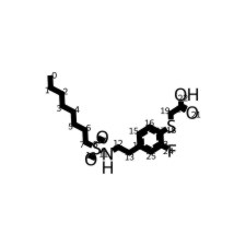 CCCCCCCCS(=O)(=O)NCCc1ccc(SCC(=O)O)c(F)c1